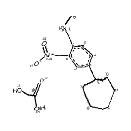 CNc1ccc(C2CCCCC2)cc1[N+](=O)[O-].O=C(O)O